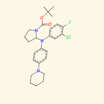 CC(C)(C)OC(=O)N1CCCC1N(c1ccc(N2CCCCC2)cc1)c1ccc(F)c(Cl)c1